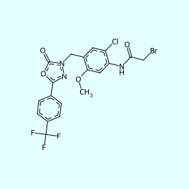 COc1cc(NC(=O)CBr)c(Cl)cc1Cn1nc(-c2ccc(C(F)(F)F)cc2)oc1=O